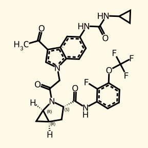 CC(=O)c1cn(CC(=O)N2[C@@H]3C[C@@H]3C[C@H]2C(=O)Nc2cccc(OC(F)(F)F)c2F)c2ccc(NC(=O)NC3CC3)cc12